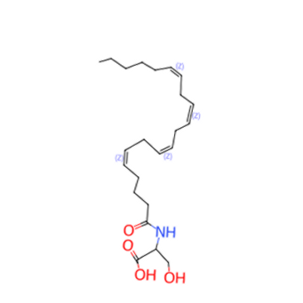 CCCCC/C=C\C/C=C\C/C=C\C/C=C\CCCC(=O)NC(CO)C(=O)O